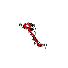 CO[C@H]1C[C@@H]2CC[C@@H](C)[C@@](O)(O2)C(=O)C(=O)N2CCCC[C@H]2C(=O)O[C@H]([C@H](N)C[C@@H]2CC[C@H](n3cc(CCCC(=O)NCCOCCOCCOCCC(=O)NCCOCCOCCC(=O)NCCCCn4nc(-c5cc6cc(O)ccc6[nH]5)c5c(N)ncnc54)nn3)[C@H](OC)C2)CC(=O)[C@H](C)/C=C(\C)[C@@H](O)[C@@H](O)C(=O)[C@H](C)C[C@H](C)/C=C/C=C/C=C/1C